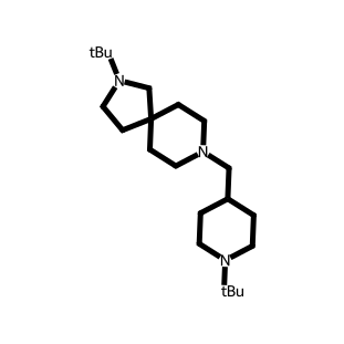 CC(C)(C)N1CCC(CN2CCC3(CC2)CCN(C(C)(C)C)C3)CC1